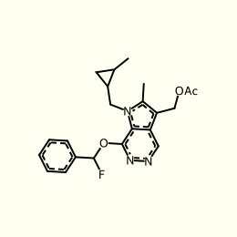 CC(=O)OCc1c(C)n(CC2CC2C)c2c(OC(F)c3ccccc3)nncc12